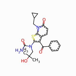 CC(C)(O)CN(C(N)=O)c1sc2c(ccc(=O)n2CC2CC2)c1C(=O)c1ccccc1